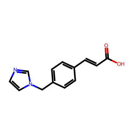 O=C(O)C=Cc1ccc(Cn2ccnc2)cc1